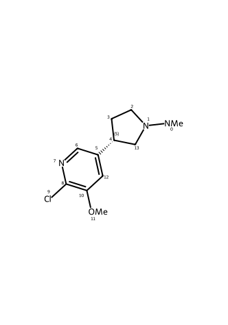 CNN1CC[C@@H](c2cnc(Cl)c(OC)c2)C1